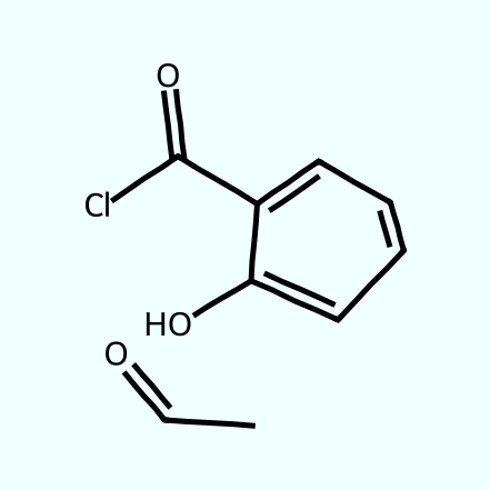 CC=O.O=C(Cl)c1ccccc1O